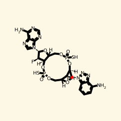 Nc1ncnc2c1ncn2[C@@H]1O[C@@H]2COP(=O)(S)O[C@@H]3[C@H](F)[C@@H](COP(=O)(S)O[C@H]2[C@H]1F)O[C@H]3n1nnc2c(N)cccc21